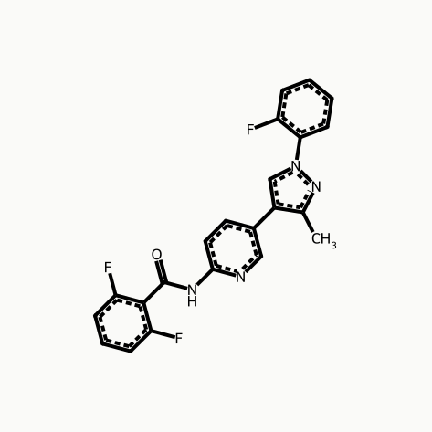 Cc1nn(-c2ccccc2F)cc1-c1ccc(NC(=O)c2c(F)cccc2F)nc1